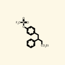 CCOC(=O)CC(Cc1ccc(OS(=O)(=O)C(F)(F)F)cc1)c1ccccc1